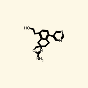 NC1=NC2(CCc3c(-c4cncnc4)ccc(CCO)c3C2)CO1